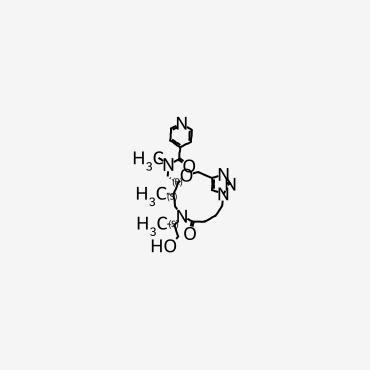 C[C@H]1CN([C@@H](C)CO)C(=O)CCCn2cc(nn2)CO[C@H]1CN(C)C(=O)c1ccncc1